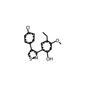 CCc1cc(-c2nscc2-c2ccc(Cl)cc2)c(O)cc1OC